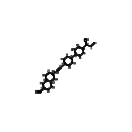 C=CC(=O)c1ccc(-c2ccc(C#Cc3ccc4cc(O)ccc4c3)cc2)cc1